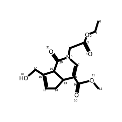 CCOC(=O)CN1C=C(C(=O)OC)C2CC=C(CO)C2C1=O